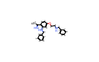 CCCC(=N)c1ccc(OCCNCc2ccccc2)cc1NCc1ccccc1